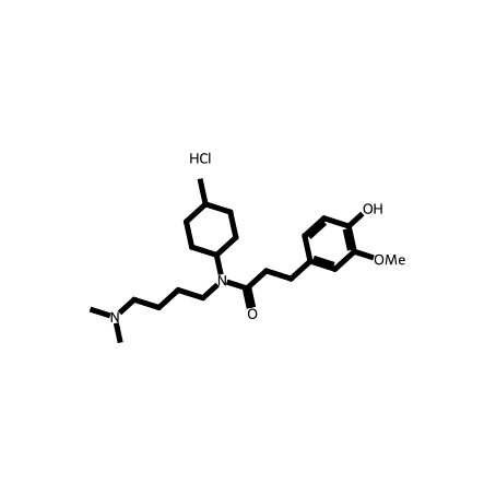 COc1cc(CCC(=O)N(CCCCN(C)C)C2CCC(C)CC2)ccc1O.Cl